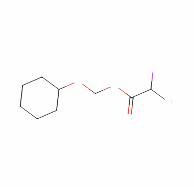 CCC(I)C(=O)OCOC1CCCCC1